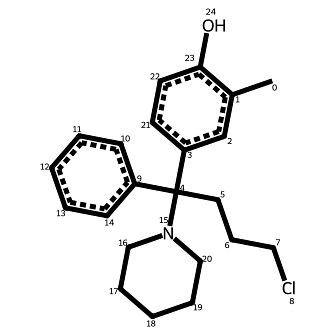 Cc1cc(C(CCCCl)(c2ccccc2)N2CCCCC2)ccc1O